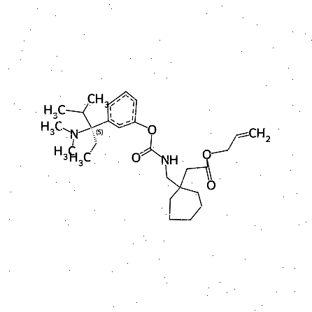 C=CCOC(=O)CC1(CNC(=O)Oc2cccc([C@](CC)(C(C)C)N(C)C)c2)CCCCC1